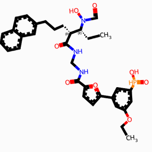 CCOc1cc(-c2ccc(C(=O)NCNC(=O)[C@H](CCCc3ccc4ccccc4c3)[C@@H](CC)N(O)C=O)o2)cc([PH](=O)O)c1